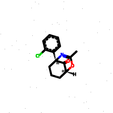 CC1=N[C@]2(c3ccccc3Cl)CCC[C@H](O1)C2=O